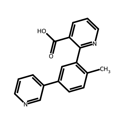 Cc1ccc(-c2cccnc2)cc1-c1ncccc1C(=O)O